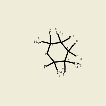 CC1(F)CC(C)(F)C(C)(F)C(F)(F)C1(C)F